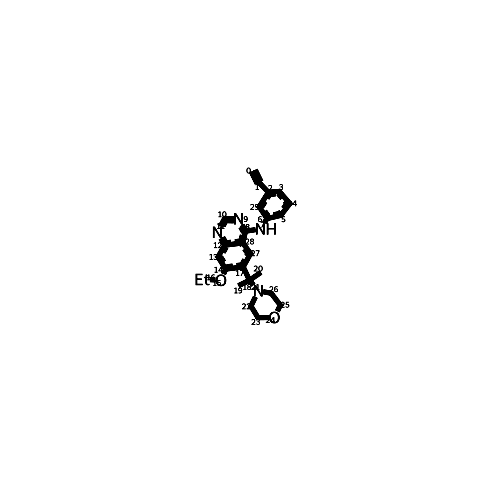 C#Cc1cccc(Nc2ncnc3cc(OCC)c(C(C)(C)N4CCOCC4)cc23)c1